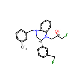 O[C@@H](CF)CN1c2ccccc2N(Cc2cccc(C(F)(F)F)c2)C[C@H]1c1cccc(CF)c1